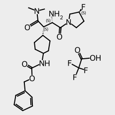 CN(C)C(=O)[C@@H](C1CCC(NC(=O)OCc2ccccc2)CC1)[C@H](N)C(=O)N1CC[C@H](F)C1.O=C(O)C(F)(F)F